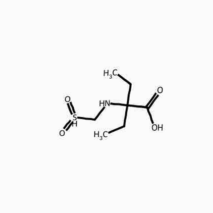 CCC(CC)(NC[SH](=O)=O)C(=O)O